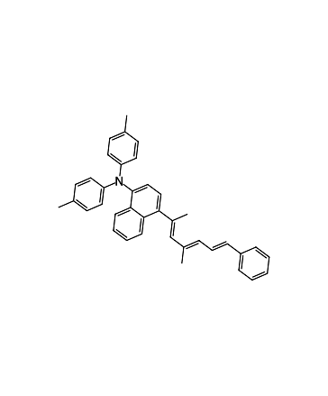 CC(=CC=Cc1ccccc1)C=C(C)c1ccc(N(c2ccc(C)cc2)c2ccc(C)cc2)c2ccccc12